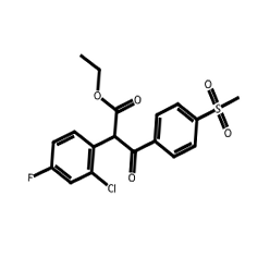 CCOC(=O)C(C(=O)c1ccc(S(C)(=O)=O)cc1)c1ccc(F)cc1Cl